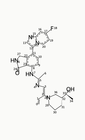 C=C/C(=C\N=C(/C)Nc1ccc(-c2cnc3cc(F)ccn23)c2c1C(=O)NC2)N1CCC[C@@H]([C@H](C)O)C1